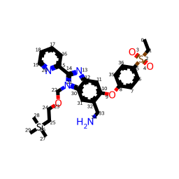 CCS(=O)(=O)c1ccc(Oc2cc3nc(-c4ccccn4)n(COCC[Si](C)(C)C)c3cc2CN)cc1